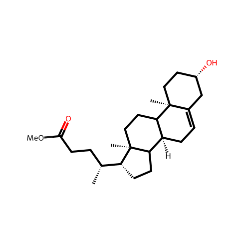 COC(=O)CC[C@@H](C)[C@H]1CCC2[C@@H]3CC=C4C[C@@H](O)CC[C@]4(C)C3CC[C@@]21C